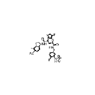 CC(=O)c1ccc2c(c1C)CC[C@@H]2NC(=O)c1cc(C(=O)NCc2ccc(F)c(NS(C)(=O)=O)c2)nc2c(F)cnn12